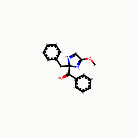 COC1=NC(Cc2ccccc2)(C(=O)c2ccccc2)N=C1